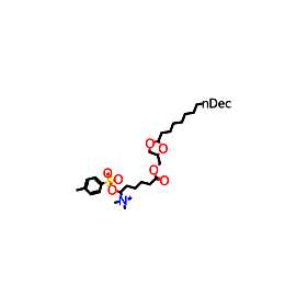 CCCCCCCCCCCCCCCCCC1OCC(COC(=O)CCCCC(OS(=O)(=O)c2ccc(C)cc2)[N+](C)(C)C)O1